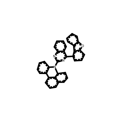 c1ccc2c(c1)-c1cccc3cccc(c13)N2c1nc(-c2cccc3oc4ccccc4c23)c2ccccc2n1